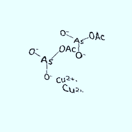 CC(=O)O[As]([O-])[O-].CC(=O)O[As]([O-])[O-].[Cu+2].[Cu+2]